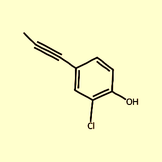 CC#Cc1ccc(O)c(Cl)c1